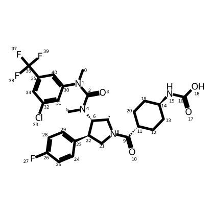 CN(C(=O)N(C)[C@@H]1CN(C(=O)[C@H]2CC[C@H](NC(=O)O)CC2)C[C@H]1c1ccc(F)cc1)c1cc(Cl)cc(C(F)(F)F)c1